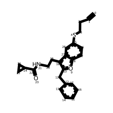 C#CCCSc1ccc2oc(Cc3ccccc3)c(CCNC(=O)C3CC3)c2c1